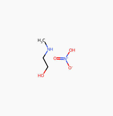 CNCCO.O=[N+]([O-])O